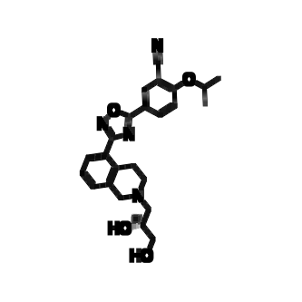 CC(C)Oc1ccc(-c2nc(-c3cccc4c3CCN(C[C@@H](O)CO)C4)no2)cc1C#N